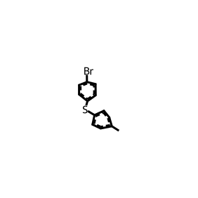 Cc1ccc(Sc2ccc(Br)cc2)cc1